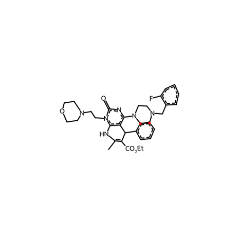 CCOC(=O)C1=C(C)Nc2c(c(N3CCN(Cc4ccccc4F)CC3)nc(=O)n2CCN2CCOCC2)C1c1ccccc1